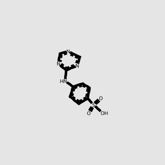 O=S(=O)(O)c1ccc(Nc2n[c]ncn2)cc1